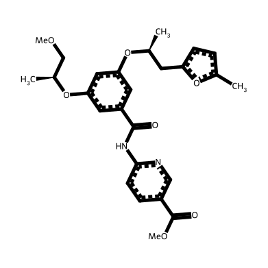 COC[C@H](C)Oc1cc(O[C@@H](C)Cc2ccc(C)o2)cc(C(=O)Nc2ccc(C(=O)OC)cn2)c1